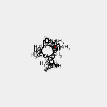 CC[C@H]1OC(=O)[C@H](C)[C@@H](O[C@H]2C[C@@](C)(OC)[C@](O)(CN=[N+]=[N-])[C@H](C)O2)[C@H](C)[C@@H](O[C@@H]2O[C@H](C)C[C@H](N(C)C(=O)Nc3ccccc3)[C@H]2O)[C@](C)(O)C[C@@H](C)CN[C@H](C)[C@@H](O)[C@]1(C)O